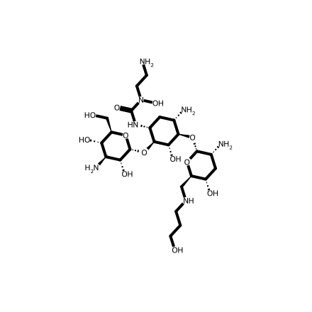 NCCN(O)C(=O)N[C@@H]1C[C@H](N)[C@@H](O[C@H]2O[C@H](CNCCCO)[C@@H](O)C[C@H]2N)[C@H](O)[C@H]1O[C@H]1O[C@H](CO)[C@@H](O)[C@H](N)[C@H]1O